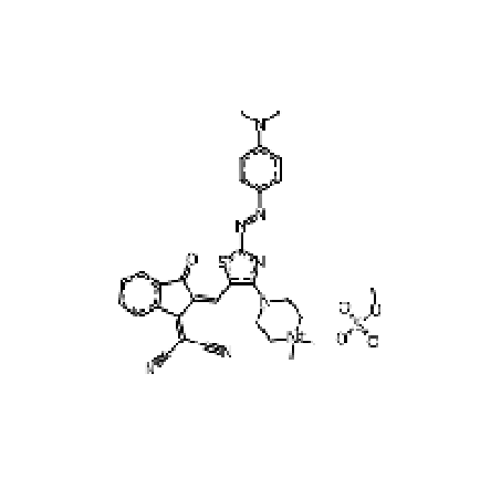 CN(C)c1ccc(N=Nc2nc(N3CC[N+](C)(C)CC3)c(C=C3C(=O)c4ccccc4C3=C(C#N)C#N)s2)cc1.COS(=O)(=O)[O-]